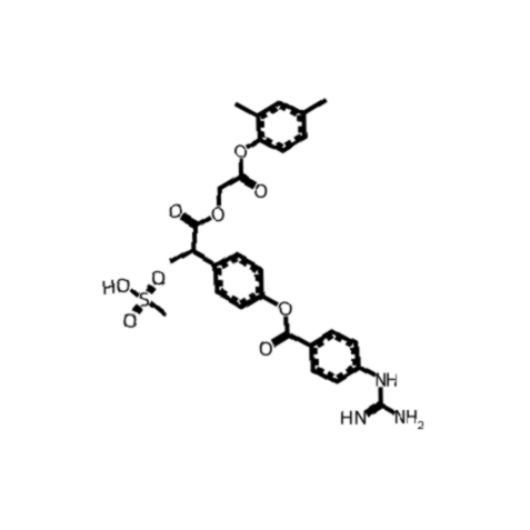 CS(=O)(=O)O.Cc1ccc(OC(=O)COC(=O)C(C)c2ccc(OC(=O)c3ccc(NC(=N)N)cc3)cc2)c(C)c1